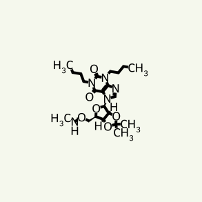 CCCCn1c(=O)c2c(ncn2[C@@H]2O[C@H](CONC)[C@H]3OC(C)(C)O[C@H]32)n(CCCC)c1=O